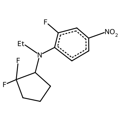 CCN(c1ccc([N+](=O)[O-])cc1F)C1CCCC1(F)F